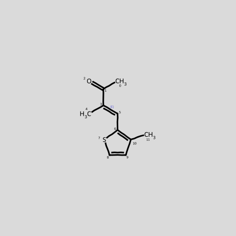 CC(=O)/C(C)=C/c1sccc1C